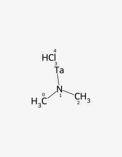 C[N](C)[Ta].Cl